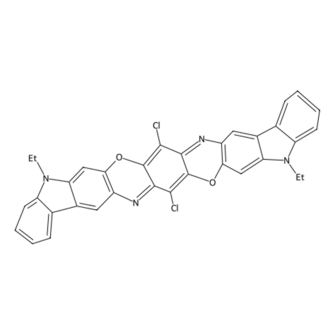 CCn1c2ccccc2c2cc3c(cc21)Oc1c(Cl)c2c(c(Cl)c1=N3)Oc1cc3c(cc1N=2)c1ccccc1n3CC